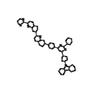 c1ccc(-c2nc(-c3ccc(-c4ccc5ccc(-c6ccc7ccc(-c8ncccn8)nc7c6)nc5c4)cc3)cc(-c3ccc(-n4c5ccccc5c5ccccc54)cc3)n2)cc1